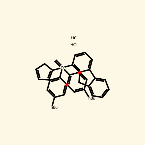 Cl.Cl.[CH2]=[Zr]([C]1=CC=CC1)([c]1ccc(CCCC)cc1)([c]1ccc(CCCC)cc1)[c]1cccc2c1Cc1ccccc1-2